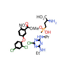 CCNc1nc(Cl)nc(NC(C)C)n1.COC(=O)c1cc(Oc2ccc(Cl)cc2Cl)ccc1[N+](=O)[O-].CP(=O)(O)CCC(N)C(=O)O